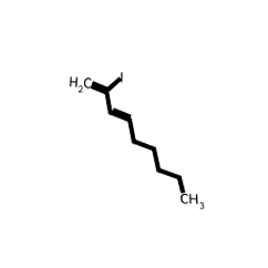 C=C(I)C=CCCCCC